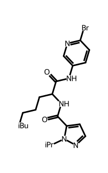 CCC(C)CCCC(NC(=O)c1ccnn1C(C)C)C(=O)Nc1ccc(Br)nc1